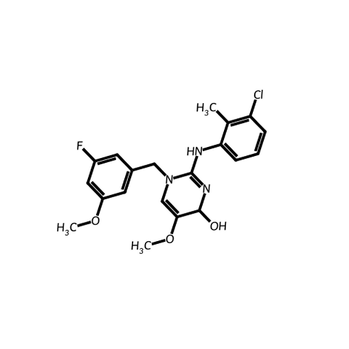 COC1=CN(Cc2cc(F)cc(OC)c2)C(Nc2cccc(Cl)c2C)=NC1O